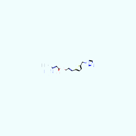 C/C(N)=C/C(=O)OC/C=C/c1ccc(Cn2ccnc2)s1